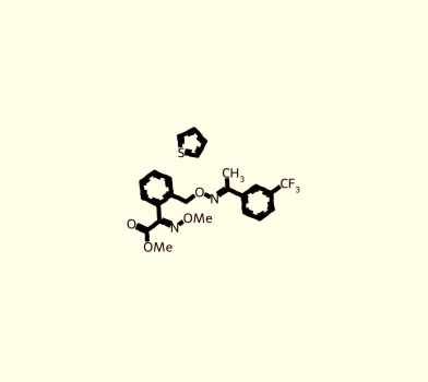 CO/N=C(/C(=O)OC)c1ccccc1CO/N=C(\C)c1cccc(C(F)(F)F)c1.c1ccsc1